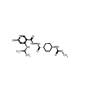 COC(=O)N[C@H]1CC[C@H](C(=O)NNC(=O)c2cnc(Cl)cc2NC(C)C)CC1